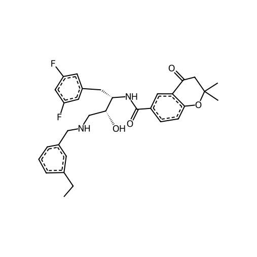 CCc1cccc(CNC[C@@H](O)[C@H](Cc2cc(F)cc(F)c2)NC(=O)c2ccc3c(c2)C(=O)CC(C)(C)O3)c1